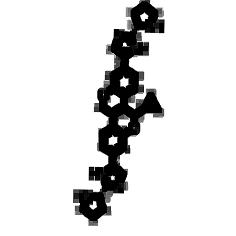 c1cc2c(cc1-c1cnc([C@@H]3CCCN3)[nH]1)OC(C1CC1)C1=C2COc2cc(-c3cnc([C@@H]4CCCN4)[nH]3)ccc21